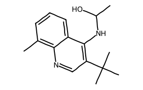 Cc1cccc2c(NC(C)O)c(C(C)(C)C)cnc12